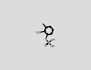 O=[N+]([O-])c1c(I)cccc1OP(=O)(O)O